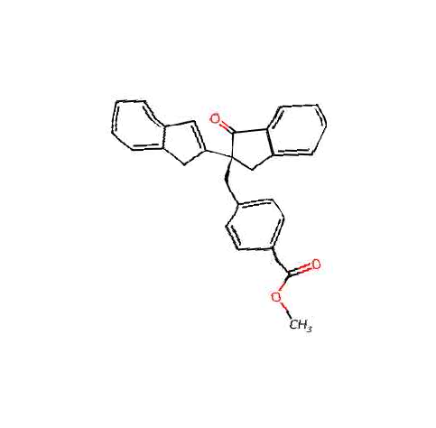 COC(=O)c1ccc(C[C@]2(C3=Cc4ccccc4C3)Cc3ccccc3C2=O)cc1